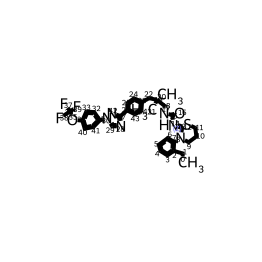 CCc1ccccc1N1CCCS/C1=N\C(=O)NCC(C)(C)Cc1ccc(-c2ncn(-c3ccc(OC(F)(F)F)cc3)n2)cc1